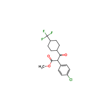 COC(=O)C(C(=O)C1CCC(C(F)(F)F)CC1)c1ccc(Cl)cc1